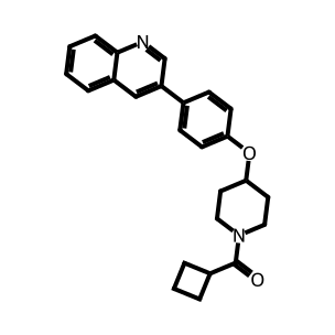 O=C(C1CCC1)N1CCC(Oc2ccc(-c3cnc4ccccc4c3)cc2)CC1